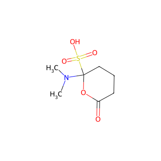 CN(C)C1(S(=O)(=O)O)CCCC(=O)O1